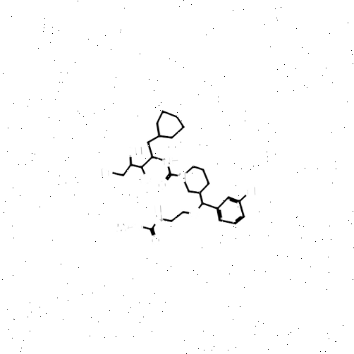 COC(=O)NCCOC(c1cccc(Cl)c1)C1CCCN(C(=O)NC(CC2CCCCC2)C(O)C(O)CC(C)C)C1